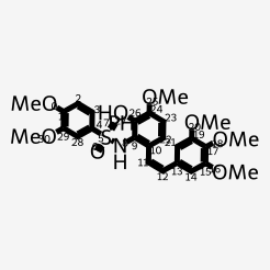 COc1ccc(S(=O)(=P)Nc2c(/C=C\c3cc(OC)c(OC)c(OC)c3)ccc(OC)c2O)cc1OC